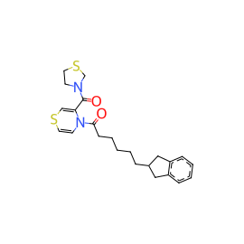 O=C(C1=CSC=CN1C(=O)CCCCCC1Cc2ccccc2C1)N1CCSC1